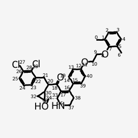 Cc1cccc(C)c1OCCOc1ccc(C2=C(C(=O)C(Cc3cccc(Cl)c3Cl)C3CC3)[C@@H](CO)NCC2)cc1